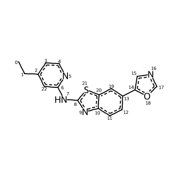 CCc1ccnc(Nc2nc3ccc(-c4cnco4)cc3s2)c1